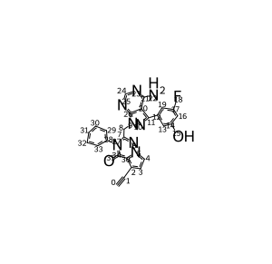 C#Cc1ccn2nc(Cn3nc(-c4cc(O)cc(F)c4)c4c(N)ncnc43)n(-c3ccccc3)c(=O)c12